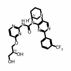 O=C(Nc1nccc(OC[C@@H](O)CO)n1)N1c2nc(-c3cccc(C(F)(F)F)c3)ncc2N2CCC[C@H]1C2